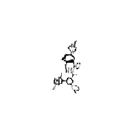 COc1cc(-c2cn(C)nc2C)cc([C@@H](C)NC(=O)c2cc(N3CCN(C)CC3)ccc2C)c1